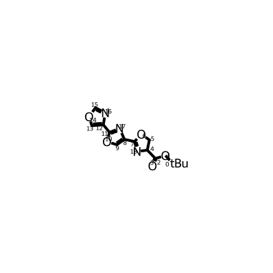 CC(C)(C)OC(=O)C1COC(c2coc(-c3cocn3)n2)=N1